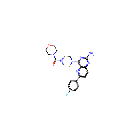 Nc1nc(N2CCN(C(=O)N3CCOCC3)CC2)c2nc(-c3ccc(F)cc3)ccc2n1